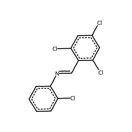 Clc1cc(Cl)c(C=Nc2ccccc2Cl)c(Cl)c1